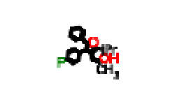 CC(O)=Cc1c(C(C)C)oc(-c2ccccc2)c1-c1ccc(F)cc1